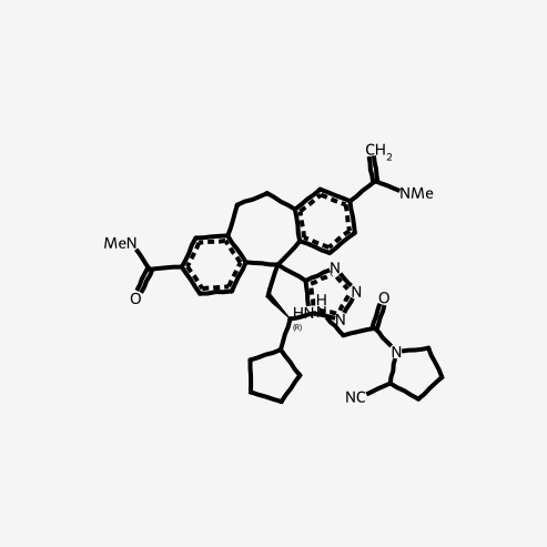 C=C(NC)c1ccc2c(c1)CCc1cc(C(=O)NC)ccc1C2(C[C@@H](NCC(=O)N1CCCC1C#N)C1CCCC1)c1nnn[nH]1